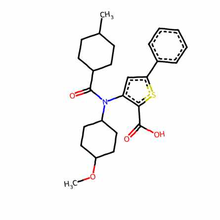 COC1CCC(N(C(=O)C2CCC(C)CC2)c2cc(-c3ccccc3)sc2C(=O)O)CC1